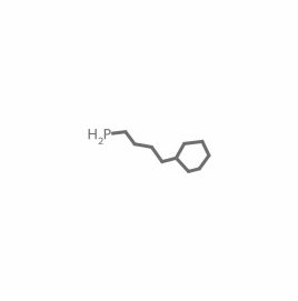 PCCCCC1CCCCC1